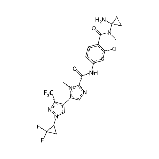 CN(C(=O)c1ccc(NC(=O)c2ncc(-c3cn(C4CC4(F)F)nc3C(F)(F)F)n2C)cc1Cl)C1(N)CC1